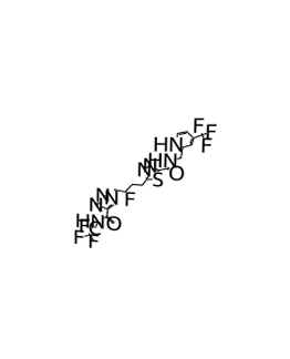 O=C(NCC(F)(F)F)c1cn(CC(F)CCc2nnc(C(=O)NCC3C=C(C(F)(F)F)C=CN3)s2)nn1